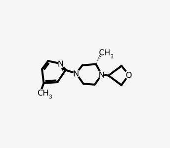 Cc1ccnc(N2CCN(C3COC3)[C@@H](C)C2)c1